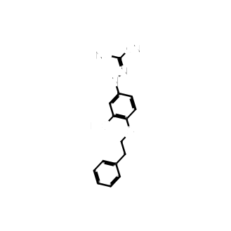 N#CC(C#N)=NNc1ccc(OCCc2ccccc2)c(C(F)(F)F)c1